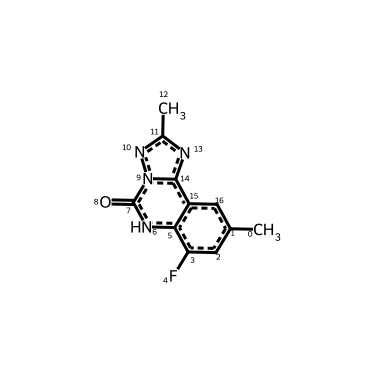 Cc1cc(F)c2[nH]c(=O)n3nc(C)nc3c2c1